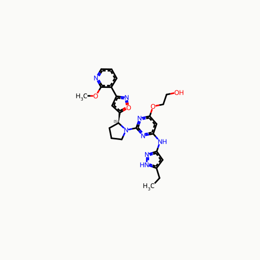 CCc1cc(Nc2cc(OCCO)nc(N3CCC[C@H]3c3cc(-c4cccnc4OC)no3)n2)n[nH]1